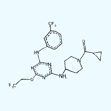 O=C(C1CC1)N1CCC(Nc2nc(Nc3cccc(C(F)(F)F)c3)nc(OCC(F)(F)F)n2)CC1